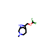 CN1CCC2CC(C1)NC2COC(F)F